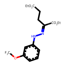 CCOC(=O)CCC(=NNc1cccc(OC(F)(F)F)c1)C(=O)OCC